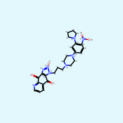 O=C1c2ncccc2C(=O)c2c1n[n+]([O-])n2CCCN1CCN(c2ccc([N+](=O)[O-])c(N3CCCC3)c2)CC1